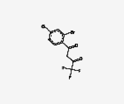 O=C(CC(=O)C(F)(F)F)c1ccc(Cl)cc1Br